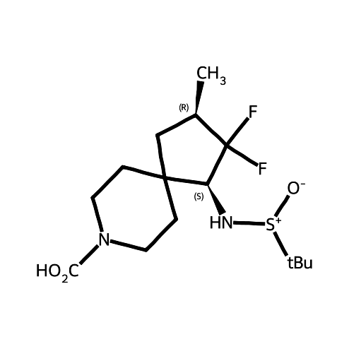 C[C@@H]1CC2(CCN(C(=O)O)CC2)[C@H](N[S+]([O-])C(C)(C)C)C1(F)F